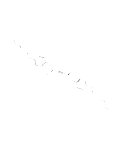 CCCCCCOc1ccc(OC(=O)C#CC(=O)Oc2ccc(OCCCCCC)cc2)cc1